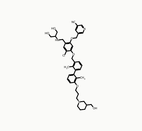 Cc1c(COc2cc(OCc3cncc(C#N)c3)c(CNC(CO)CO)cc2Cl)cccc1-c1cccc(OCCCN2CCCC(CO)C2)c1C